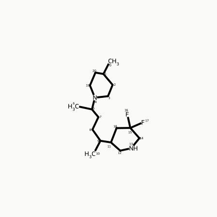 CC1CCN(C(C)CCC(C)C2CNCC(F)(F)C2)CC1